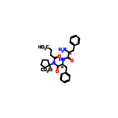 CCOC(=O)C1(N(C(=O)CCC(=O)O)C(=O)[C@H](Cc2ccccc2)NC(=O)[C@@H](N)Cc2ccccc2)CCCC1